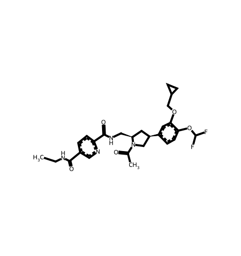 CCNC(=O)c1ccc(C(=O)NC[C@H]2C[C@@H](c3ccc(OC(F)F)c(OCC4CC4)c3)CN2C(C)=O)nc1